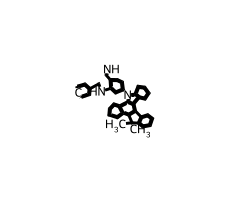 CC1(C)c2ccccc2-c2c1c1ccccc1c1c2c2ccccc2n1-c1ccc(C=N)c(NCc2ccccc2)c1